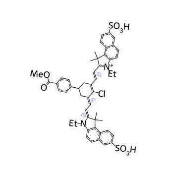 CCN1/C(=C/C=C2\CC(c3ccc(C(=O)OC)cc3)CC(/C=C/C3=[N+](CC)c4ccc5cc(S(=O)(=O)O)ccc5c4C3(C)C)=C2Cl)C(C)(C)c2c1ccc1cc(S(=O)(=O)O)ccc21